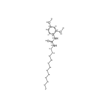 CCCCCCCCCCCCNC(=O)Nc1ccc(OC)cc1OC